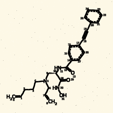 C=CCCCN(CC=C)C[C@H](NC(=O)c1ccc(C#Cc2ccccc2)cc1)C(=O)NO